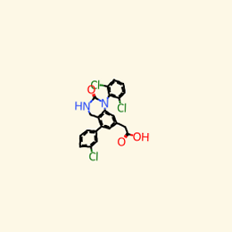 O=C(O)Cc1cc(-c2cccc(Cl)c2)c2c(c1)N(c1c(Cl)cccc1Cl)C(=O)NC2